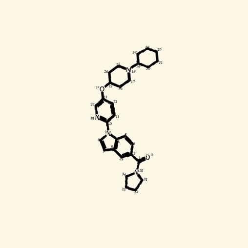 O=C(c1ccc2c(ccn2-c2ccc(OC3CCN(C4CCCCC4)CC3)cn2)c1)N1CCCC1